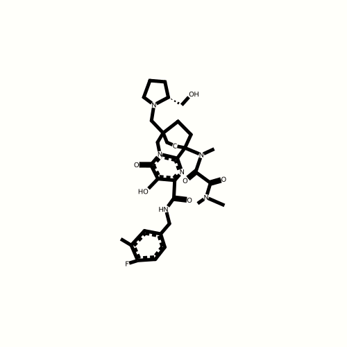 Cc1cc(CNC(=O)c2nc3n(c(=O)c2O)CC2(CN4CCC[C@@H]4CO)CCC3(N(C)C(=O)C(=O)N(C)C)CC2)ccc1F